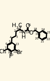 C[C@@H](CCCc1cc(Cl)c(F)c(Br)c1)NC(=O)OCc1ccccc1